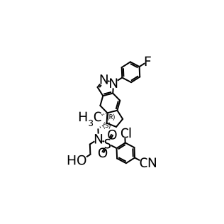 C[C@]12Cc3cnn(-c4ccc(F)cc4)c3C=C1CC[C@@H]2CN(CCO)S(=O)(=O)c1ccc(C#N)cc1Cl